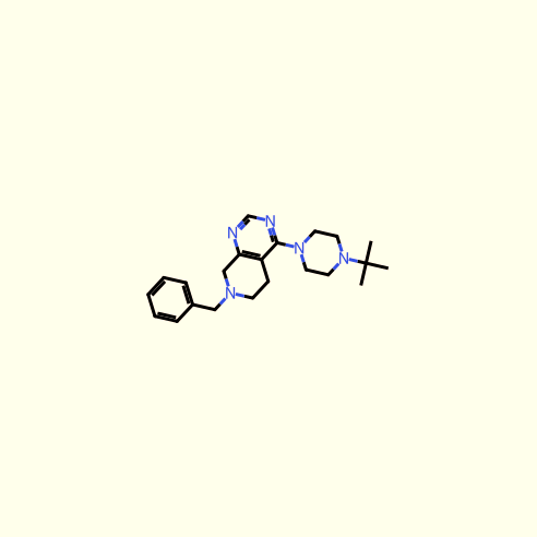 CC(C)(C)N1CCN(c2ncnc3c2CCN(Cc2ccccc2)C3)CC1